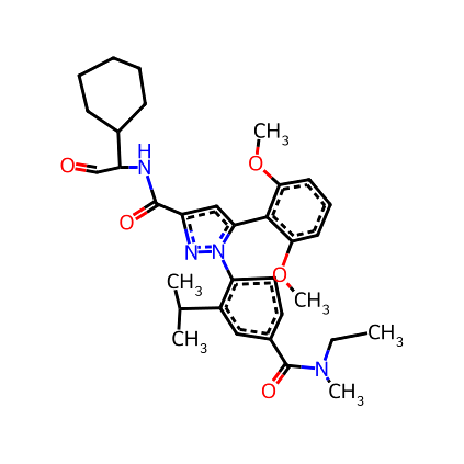 CCN(C)C(=O)c1ccc(-n2nc(C(=O)NC(C=O)C3CCCCC3)cc2-c2c(OC)cccc2OC)c(C(C)C)c1